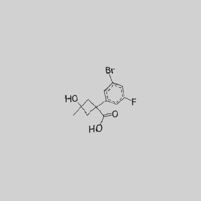 CC1(O)CC(C(=O)O)(c2cc(F)cc(Br)c2)C1